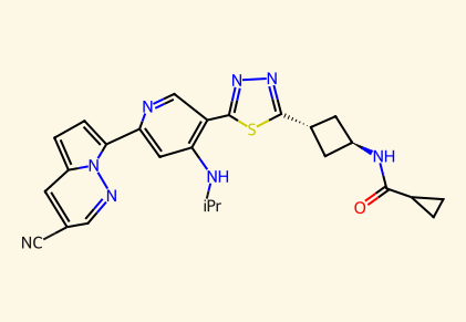 CC(C)Nc1cc(-c2ccc3cc(C#N)cnn23)ncc1-c1nnc([C@H]2C[C@H](NC(=O)C3CC3)C2)s1